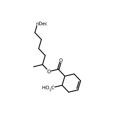 CCCCCCCCCCCCCCC(C)OC(=O)C1CC=CCC1C(=O)O